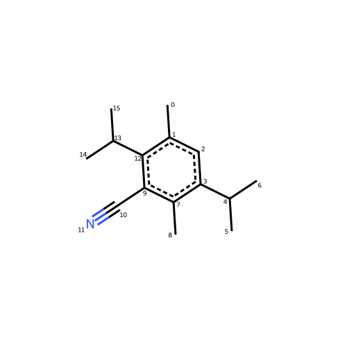 Cc1cc(C(C)C)c(C)c(C#N)c1C(C)C